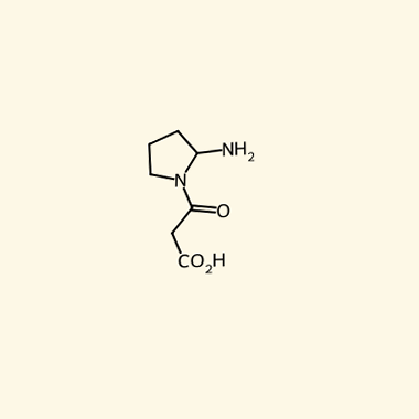 NC1CCCN1C(=O)CC(=O)O